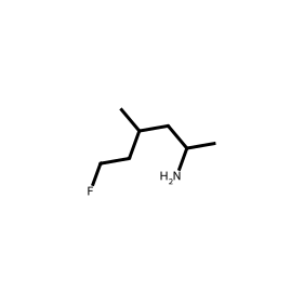 CC(N)CC(C)CCF